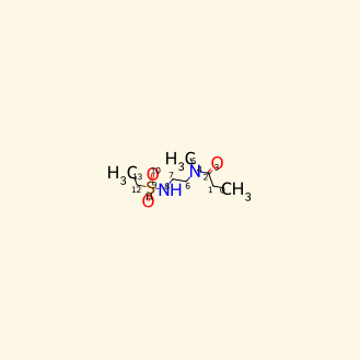 CCC(=O)N(C)CCNS(=O)(=O)CC